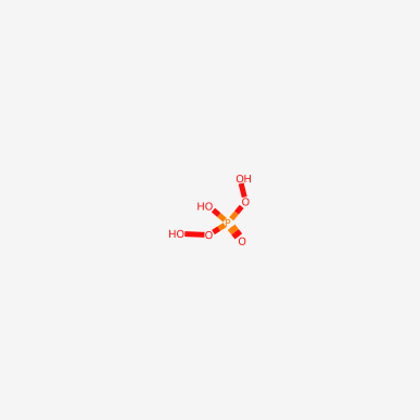 O=P(O)(OO)OO